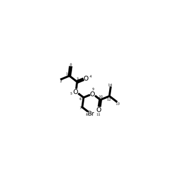 C=C(C)C(=O)OC(CBr)OC(=O)C(C)C